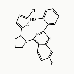 Oc1ccccc1-c1nc(N2CCCC2c2ccc(Cl)s2)c2ccc(Cl)cc2n1